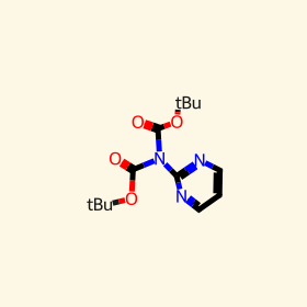 CC(C)(C)OC(=O)N(C(=O)OC(C)(C)C)c1ncccn1